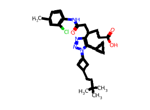 Cc1ccc(NC(=O)CC(CCC(=O)O)c2nnn(C3CC(CCC(C)(C)C)C3)c2C2CC2)c(Cl)c1